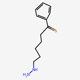 NNCCCCCC(=S)c1ccccc1